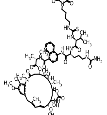 COc1cc2cc(c1Cl)N(C)C(=O)C[C@H](OC(=O)[C@H](C)N(C)C(=O)c1ccc(NC(=O)[C@H](CCCNC(N)=O)NC(=O)[C@@H](NC(=S)NCCCCN3C(=O)C=CC3=O)C(C)C)c3cccnc13)[C@]1(C)O[C@H]1[C@H](C)[C@@H]1C[C@@](O)(NC(=O)O1)[C@H](OC)/C=C/C=C(\C)C2